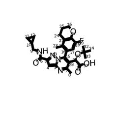 Cc1nc2cc(C(=O)NCC3CC3)nn2c(-c2cc(F)c3c(c2C)CCCO3)c1[C@H](OC(C)(C)C)C(=O)O